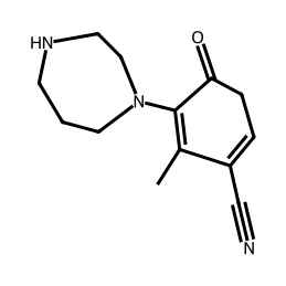 CC1=C(N2CCCNCC2)C(=O)CC=C1C#N